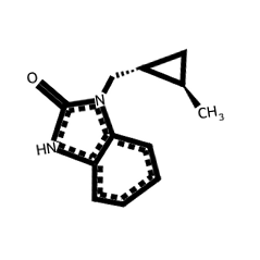 C[C@@H]1C[C@H]1Cn1c(=O)[nH]c2ccccc21